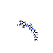 COc1cc(CNC(=O)c2cn(Cc3ccc(N4CCCC4)nc3)c(C)n2)cc2ccnc(N)c12